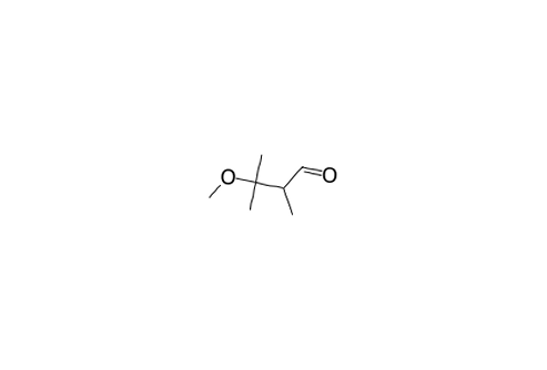 COC(C)(C)C(C)C=O